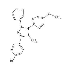 COc1ccc(N2C(C)C(c3ccc(Br)cc3)=NC2c2ccccc2)cc1